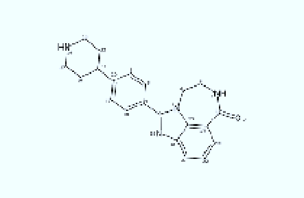 O=C1NCCn2c(-c3ccc(C4CCNCC4)cc3)nc3cccc1c32